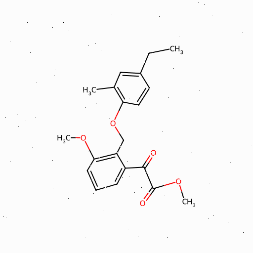 CCc1ccc(OCc2c(OC)cccc2C(=O)C(=O)OC)c(C)c1